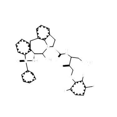 O=C(O)CC(NC(=O)[C@@H]1Cc2cccc3c2N1C(O)[C@@H](NP(=O)(c1ccccc1)c1ccccc1)CC3)C(=O)COc1c(F)ccc(F)c1F